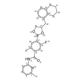 Cc1cccc(NC(=O)c2cc(F)c(B3OCC(Cc4cccc5c4CCCC5)O3)cc2C)n1